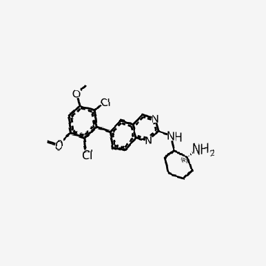 COc1cc(OC)c(Cl)c(-c2ccc3nc(NC4CCCC[C@H]4N)ncc3c2)c1Cl